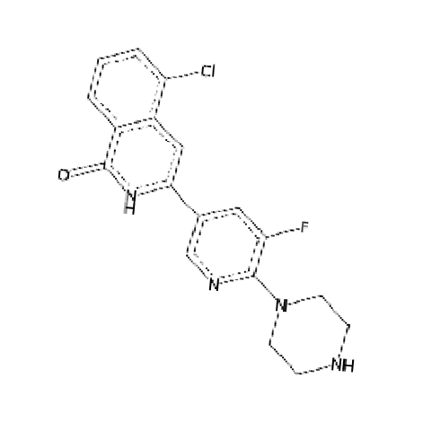 O=c1[nH]c(-c2cnc(N3CCNCC3)c(F)c2)cc2c(Cl)cccc12